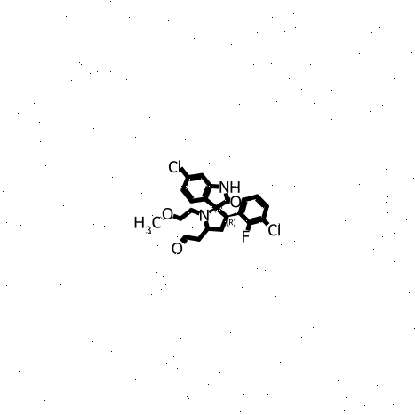 COCCN1C(CC=O)C[C@H](c2cccc(Cl)c2F)[C@]12C(=O)Nc1cc(Cl)ccc12